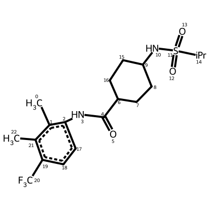 Cc1c(NC(=O)C2CCC(NS(=O)(=O)C(C)C)CC2)ccc(C(F)(F)F)c1C